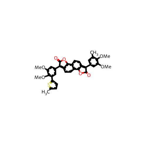 COc1cc(C2=c3ccc4c5c(ccc4c3OC2=O)=C(c2cc(OC)c(OC)c(-c3ccc(C)s3)c2)C(=O)O5)cc(C)c1OC